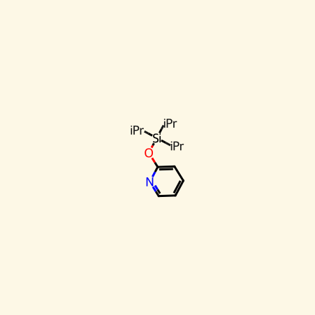 CC(C)[Si](Oc1ccccn1)(C(C)C)C(C)C